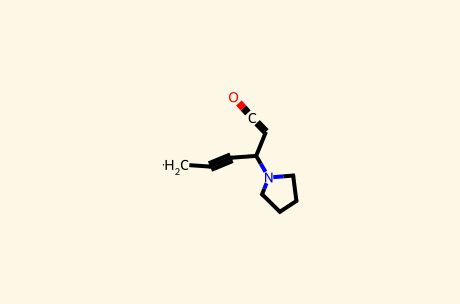 [CH2]C#CC(C=C=O)N1CCCC1